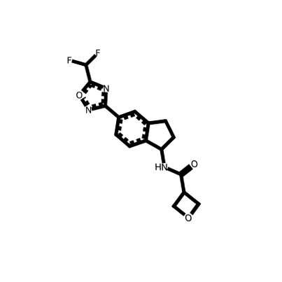 O=C(NC1CCc2cc(-c3noc(C(F)F)n3)ccc21)C1COC1